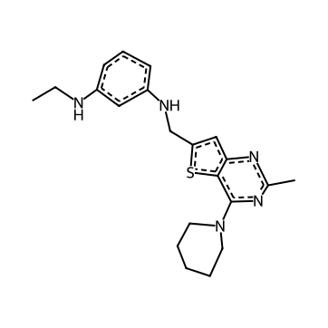 CCNc1cccc(NCc2cc3nc(C)nc(N4CCCCC4)c3s2)c1